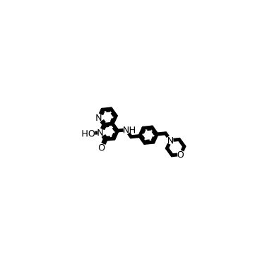 O=c1cc(NCc2ccc(CN3CCOCC3)cc2)c2cccnc2n1O